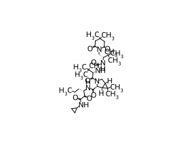 CCC[C@H](NC(=O)[C@@H]1[C@@H]2[C@H](CN1C(=O)[C@@H](NC(=O)N[C@H](CN1C(=O)CC(C)(C)CC1=O)C(C)(C)C)C(C)(C)C)C2(C)C)C(=O)C(=O)NC1CC1